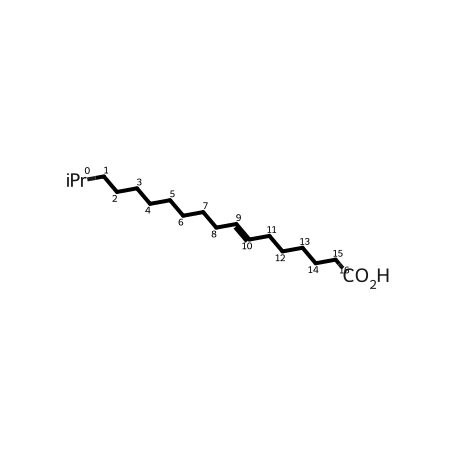 CC(C)CCCCCCCCC=CCCCCCC(=O)O